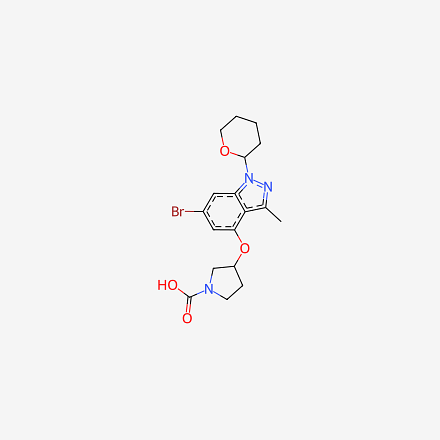 Cc1nn(C2CCCCO2)c2cc(Br)cc(OC3CCN(C(=O)O)C3)c12